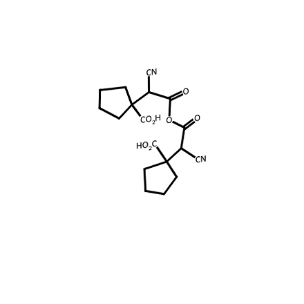 N#CC(C(=O)OC(=O)C(C#N)C1(C(=O)O)CCCC1)C1(C(=O)O)CCCC1